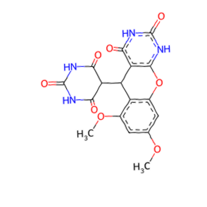 COc1cc(OC)c2c(c1)Oc1[nH]c(=O)[nH]c(=O)c1C2C1C(=O)NC(=O)NC1=O